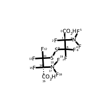 O=C(O)[C@@](F)(N(F)F)C(F)(F)SSC(F)(F)[C@@](F)(C(=O)O)N(F)F